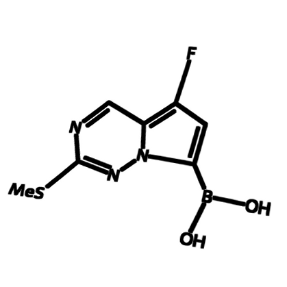 CSc1ncc2c(F)cc(B(O)O)n2n1